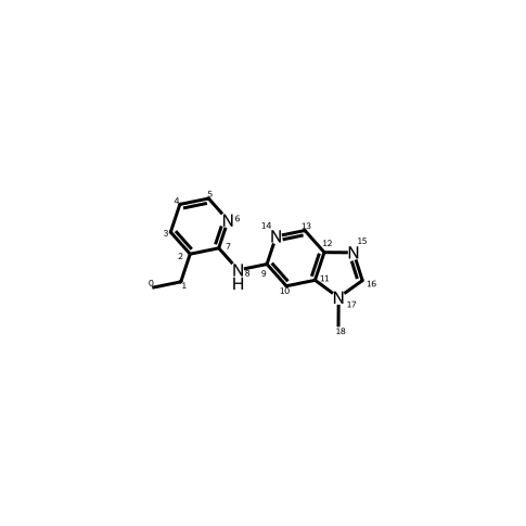 CCc1cccnc1Nc1cc2c(cn1)ncn2C